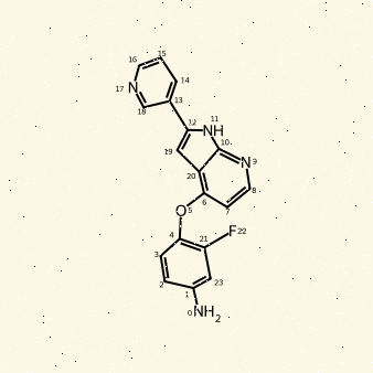 Nc1ccc(Oc2ccnc3[nH]c(-c4cccnc4)cc23)c(F)c1